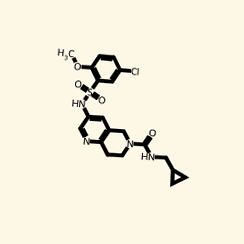 COc1ccc(Cl)cc1S(=O)(=O)Nc1cnc2c(c1)CN(C(=O)NCC1CC1)CC2